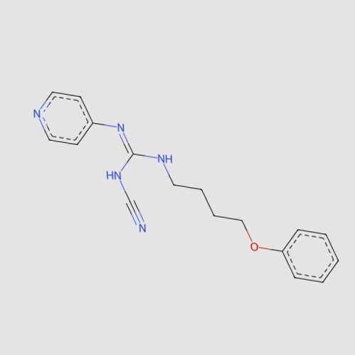 N#CNC(=Nc1ccncc1)NCCCCOc1ccccc1